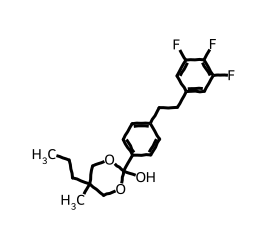 CCCC1(C)COC(O)(c2ccc(CCc3cc(F)c(F)c(F)c3)cc2)OC1